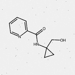 O=C(NC1(CO)CC1)c1ccccn1